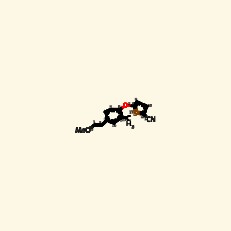 CO/C=C/c1ccc(Oc2ccc(C#N)s2)c(C)c1